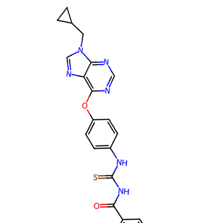 Cc1cccc(C(=O)NC(=S)Nc2ccc(Oc3ncnc4c3ncn4CC3CC3)cc2)c1